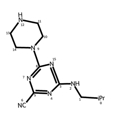 CC(C)CNc1nc(C#N)nc(N2CCNCC2)n1